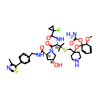 COC1C=CC=CC1(OC(N)=O)OC1(CSC(C)(C)[C@@H](NC(=O)C2(F)CC2)C(=O)N2C[C@H](O)C[C@H]2C(=O)NCc2ccc(-c3scnc3C)cc2)CCNCC1